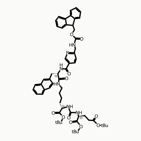 CC(C)(C)OC(=O)CC[C@H](NC(=O)N[C@@H](CCCCNC(=O)[C@H](Cc1ccc2ccccc2c1)NC(=O)c1ccc(CNC(=O)OCC2c3ccccc3-c3ccccc32)nc1)C(=O)OC(C)(C)C)C(=O)OC(C)(C)C